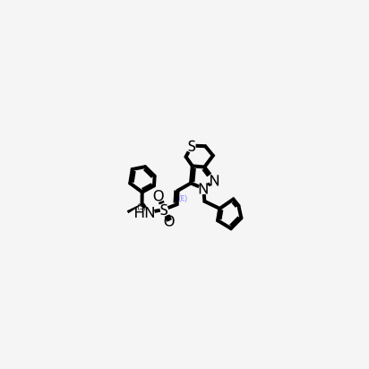 C[C@H](NS(=O)(=O)/C=C/c1c2c(nn1Cc1ccccc1)CCSC2)c1ccccc1